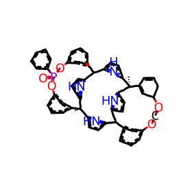 C[C@]12C3=CC(CC=C3)OCOc3cccc(c3)[C@](C)(c3ccc1[nH]3)c1ccc([nH]1)[C@@]1(C)c3cccc(c3)OP(=O)(c3ccccc3)Oc3cccc(c3)[C@@](C)(c3ccc2[nH]3)c2ccc1[nH]2